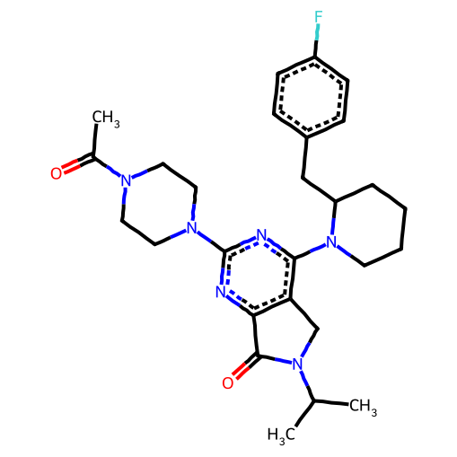 CC(=O)N1CCN(c2nc3c(c(N4CCCCC4Cc4ccc(F)cc4)n2)CN(C(C)C)C3=O)CC1